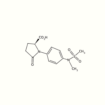 CN(c1ccc(N2C(=O)CC[C@H]2C(=O)O)cc1)S(C)(=O)=O